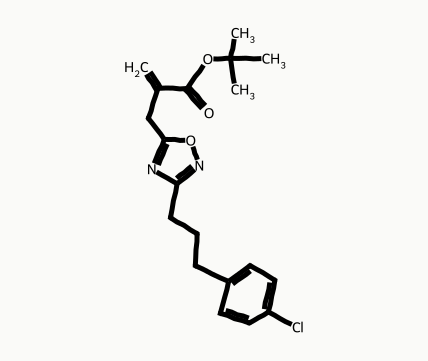 C=C(Cc1nc(CCCc2ccc(Cl)cc2)no1)C(=O)OC(C)(C)C